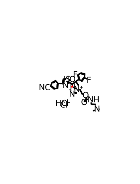 C[C@@H](c1nc(-c2ccc(C#N)cc2)cs1)[C@](O)(C[N+]1(CCOC(=O)NCCN(C)C)C=NC=N1)c1cc(F)ccc1F.Cl.[Cl-]